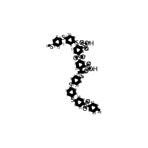 CSc1ccc(Sc2ccc(Sc3ccc(S(=O)(=O)c4ccc(C(C)(C)Sc5ccc(Sc6ccc(Sc7ccc(S(=O)(=O)c8ccc(C)cc8)cc7)cc6)cc5)c(S(=O)(=O)O)c4)cc3S(=O)(=O)O)cc2)cc1